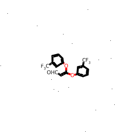 O=CC=C(Oc1cccc(C(F)(F)F)c1)Oc1cccc(C(F)(F)F)c1